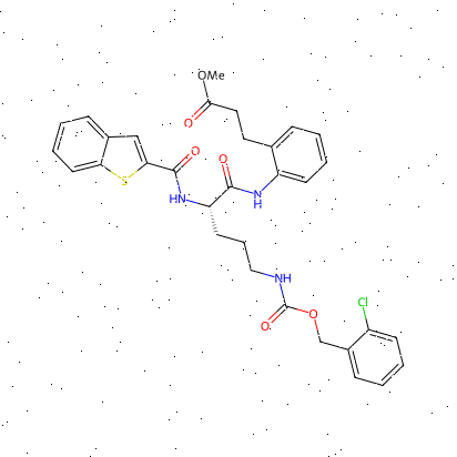 COC(=O)CCc1ccccc1NC(=O)[C@H](CCCNC(=O)OCc1ccccc1Cl)NC(=O)c1cc2ccccc2s1